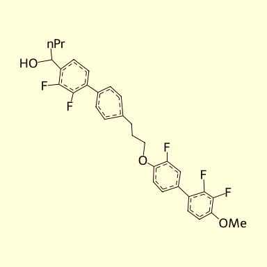 CCCC(O)c1ccc(-c2ccc(CCCOc3ccc(-c4ccc(OC)c(F)c4F)cc3F)cc2)c(F)c1F